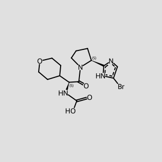 O=C(O)N[C@H](C(=O)N1CCC[C@H]1c1ncc(Br)[nH]1)C1CCOCC1